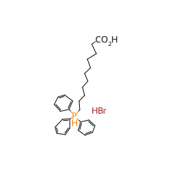 Br.O=C(O)CCCCCCCCCC[PH](c1ccccc1)(c1ccccc1)c1ccccc1